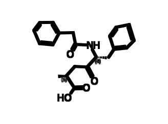 C[C@@H](CC(=O)[C@@H](Cc1ccccc1)NC(=O)Cc1ccccc1)C(=O)O